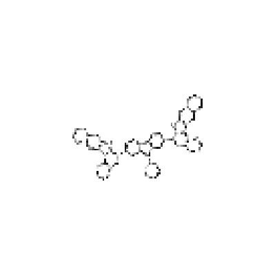 c1ccc(-n2c3cc(-c4cc5ccccc5c5c4oc4cc6ccccc6cc45)ccc3c3ccc(-c4cc5ccccc5c5c4oc4cc6ccccc6cc45)cc32)cc1